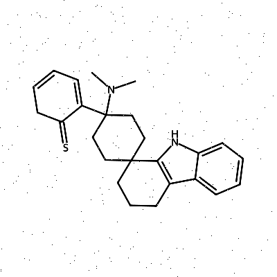 CN(C)C1(C2=CC=CCC2=S)CCC2(CCCc3c2[nH]c2ccccc32)CC1